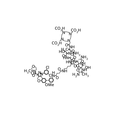 COc1cc2c(cc1-c1cccc(NC(=O)CCC(=O)NCCCC[C@@H](NC(=O)[C@@H](CC(N)=O)NC(=O)[C@@H](CO)NC(=O)[C@@H](C)NC(=O)CN3CCN(CC(=O)O)CCN(CC(=O)O)CCN(CC(=O)O)CC3)C(=O)N[C@H](CC(N)=O)C(=O)N[C@H](CO)C(=O)N[C@H](C)C(N)=O)c1)-c1c(c(C(=O)N3CCOCC3(C)C)nn1-c1cc(Cl)cc(Cl)c1)CO2